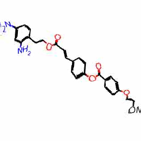 COCCOc1ccc(C(=O)Oc2ccc(C=CC(=O)OCCc3ccc(N)cc3N)cc2)cc1